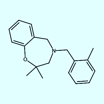 Cc1ccccc1CN1Cc2ccccc2OC(C)(C)C1